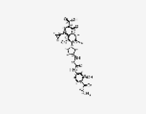 COC(=O)c1ccc(NC(=O)CNC2CCN(c3c(F)cc4c(=O)c(C(=O)O)cn(C5CC5)c4c3Cl)C2)cc1O